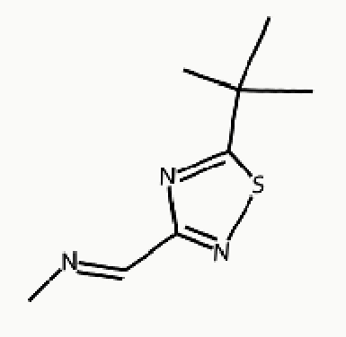 C/N=C/c1nsc(C(C)(C)C)n1